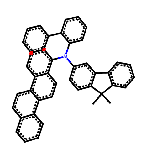 CC1(C)c2ccccc2-c2cc(N(c3ccccc3-c3ccccc3)c3cccc4c3ccc3c5ccccc5ccc43)ccc21